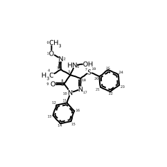 CO/N=C(\C)C1(NO)C(=O)N(c2ccccc2)N=C1Sc1ccccc1